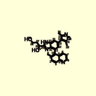 Cc1ccc2ncccc2c1-c1cc(-c2c(C)noc2C)cc2[nH]c(C(O)CCO)nc12